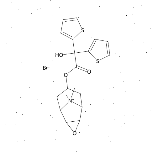 C[N+]1(C)C2CC(OC(=O)C(O)(c3cccs3)c3cccs3)CC1C1OC12.[Br-]